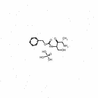 C[C@H](N)C(=O)C(CO)NC(=O)OCc1ccccc1.O=P(O)(O)O